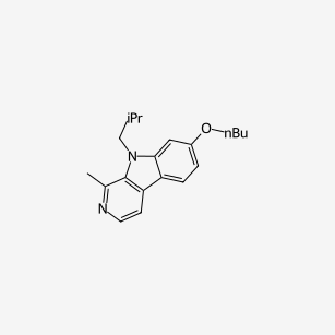 CCCCOc1ccc2c3ccnc(C)c3n(CC(C)C)c2c1